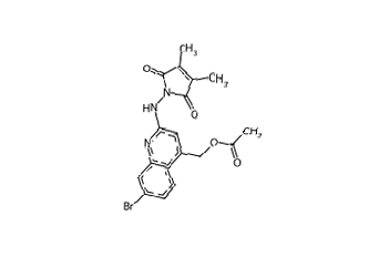 CC(=O)OCc1cc(NN2C(=O)C(C)=C(C)C2=O)nc2cc(Br)ccc12